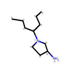 CCCC(CCC)N1CCC(N)C1